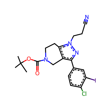 CC(C)(C)OC(=O)N1CCc2c(c(-c3ccc(Cl)c(I)c3)nn2CCC#N)C1